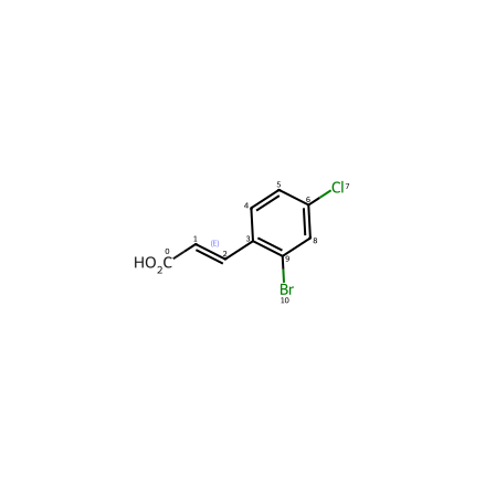 O=C(O)/C=C/c1ccc(Cl)cc1Br